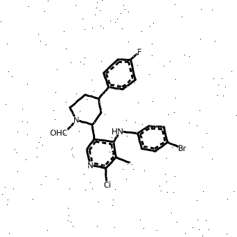 Cc1c(Cl)ncc(C2CC(c3ccc(F)cc3)CCN2C=O)c1Nc1ccc(Br)cc1